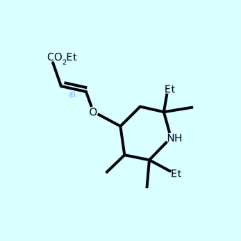 CCOC(=O)/C=C/OC1CC(C)(CC)NC(C)(CC)C1C